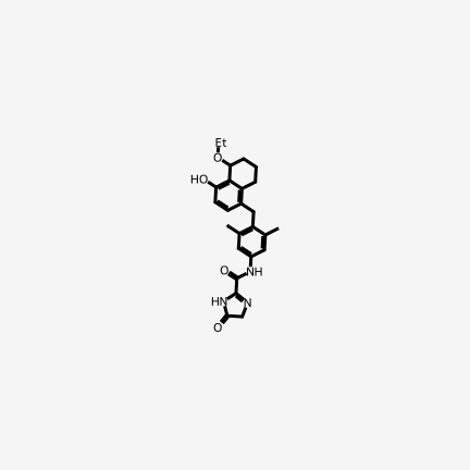 CCOC1CCCc2c(Cc3c(C)cc(NC(=O)C4=NCC(=O)N4)cc3C)ccc(O)c21